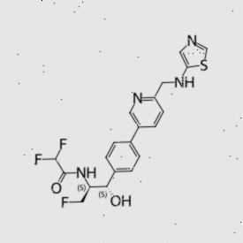 O=C(N[C@H](CF)[C@@H](O)c1ccc(-c2ccc(CNc3cncs3)nc2)cc1)C(F)F